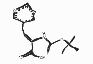 CC(C)(C)OC(=O)N/C(=C\c1cncnc1)C(=O)O